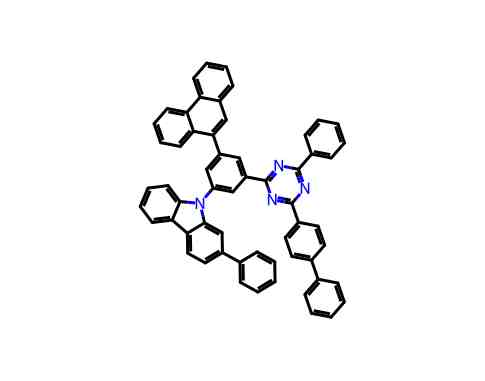 c1ccc(-c2ccc(-c3nc(-c4ccccc4)nc(-c4cc(-c5cc6ccccc6c6ccccc56)cc(-n5c6ccccc6c6ccc(-c7ccccc7)cc65)c4)n3)cc2)cc1